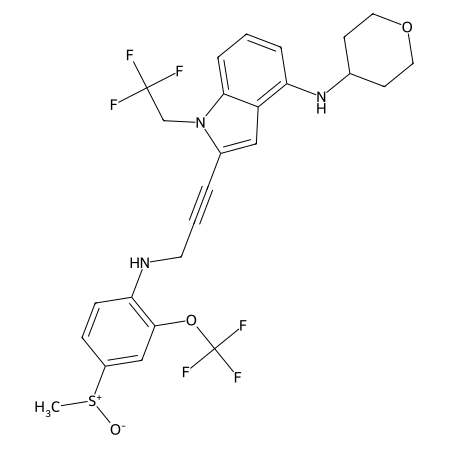 C[S+]([O-])c1ccc(NCC#Cc2cc3c(NC4CCOCC4)cccc3n2CC(F)(F)F)c(OC(F)(F)F)c1